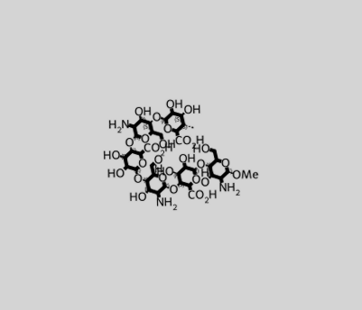 CO[C@H]1OC(CO)[C@@H](O[C@@H]2OC(C(=O)O)[C@@H](O[C@H]3OC(CO)[C@@H](O[C@@H]4OC(C(=O)O)[C@@H](O[C@H]5OC(CO)[C@@H](O[C@@H]6OC(C(=O)O)[C@@H](C)[C@H](O)C6O)[C@H](O)C5N)[C@H](O)C4O)[C@H](O)C3N)[C@H](O)C2O)[C@H](O)C1N